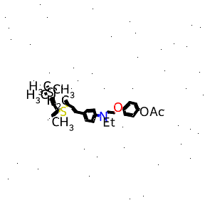 C=C(/C=C/c1ccc(N(CC)CCOc2ccc(OC(C)=O)cc2)cc1)S/C(C#C[Si](C)(C)C)=C\C